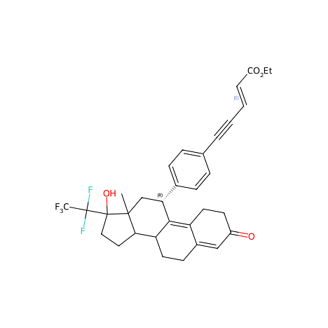 CCOC(=O)/C=C/C#Cc1ccc([C@H]2CC3(C)C(CCC3(O)C(F)(F)C(F)(F)F)C3CCC4=CC(=O)CCC4=C32)cc1